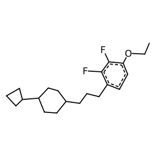 CCOc1ccc(CCCC2CCC(C3CCC3)CC2)c(F)c1F